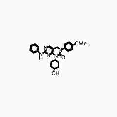 COc1ccc(N2Cc3cnc(Nc4ccccc4)nc3N([C@H]3CC[C@H](O)CC3)C2=O)cc1